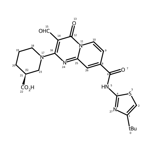 CC(C)(C)c1csc(NC(=O)c2ccn3c(=O)c(C=O)c(N4CCC[C@H](C(=O)O)C4)nc3c2)n1